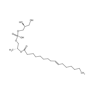 [CH2][C@H](COP(=O)(O)OC[C@@H](O)CO)OC(=O)CCCCCCC/C=C/CCCCCC